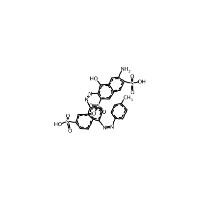 Cc1ccc(/N=N\c2ccc(/N=N\c3c(S(=O)(=O)O)cc4cc(S(=O)(=O)O)c(N)cc4c3O)c3cc(S(=O)(=O)O)ccc23)cc1